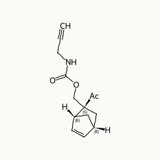 C#CCNC(=O)OC[C@]1(C(C)=O)C[C@@H]2C=C[C@H]1C2